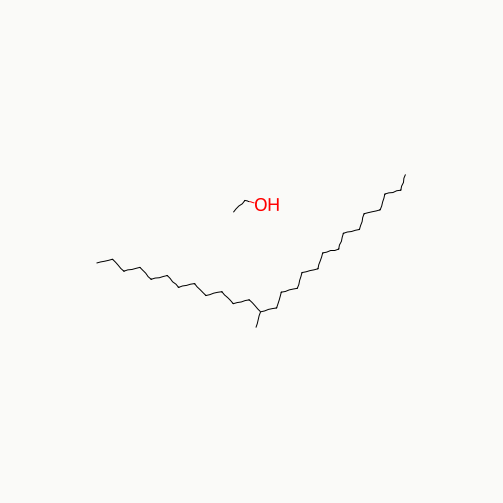 CCCCCCCCCCCCCCC(C)CCCCCCCCCCCC.CCO